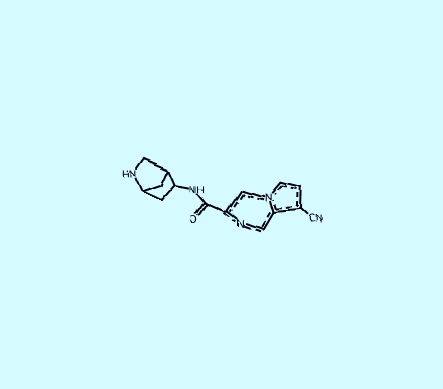 N#Cc1ccn2cc(C(=O)NC3CC4CC3CN4)ncc12